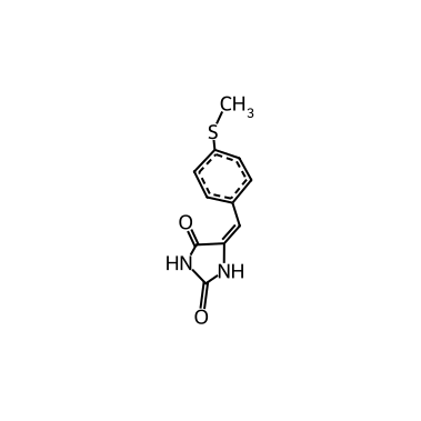 CSc1ccc(C=C2NC(=O)NC2=O)cc1